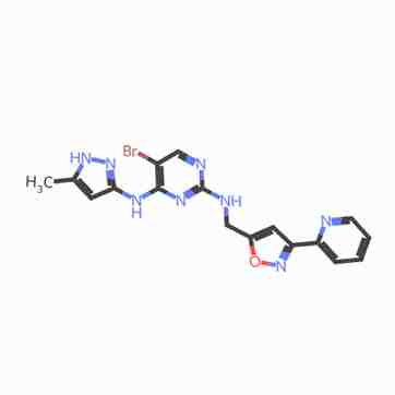 Cc1cc(Nc2nc(NCc3cc(-c4ccccn4)no3)ncc2Br)n[nH]1